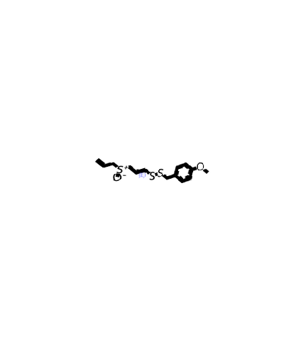 C=CC[S+]([O-])C/C=C/SSCc1ccc(OC)cc1